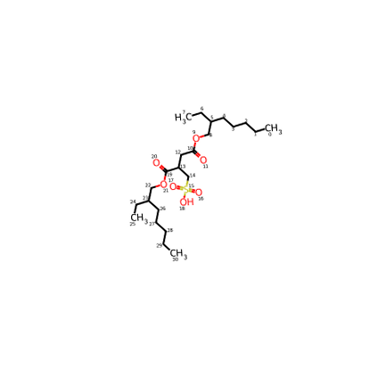 CCCCCC(CC)COC(=O)CC(CS(=O)(=O)O)C(=O)OCC(CC)CCCCC